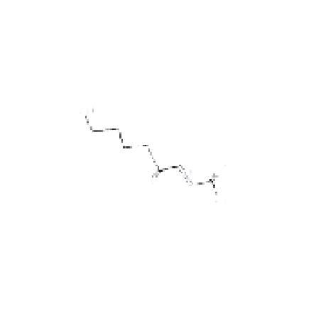 CCCCCC(=O)/C=C/C(=O)O